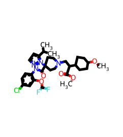 COC(=O)C(CN1CCC(C(=O)Nc2ccc(Cl)cc2OC(F)F)(n2nccc2C(C)C)CC1)C1CCC(OC)CC1